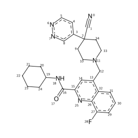 N#CC1(c2ccnnc2)CCN(Cc2cc(C(=O)NC3CCCCC3)nc3c(F)cccc23)CC1